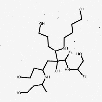 CCC(CO)NC(CC)C(O)(CC(CCO)NC(C)CCO)C(CCCO)NCCCCO